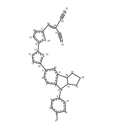 Cc1ccc(N2c3ccc(-c4ccc(-c5ccc(C=C(C#N)C#N)s5)s4)cc3C3CCCC32)cc1